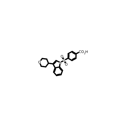 O=C(O)c1ccc(S(=O)(=O)n2cc(C3CCOCC3)c3ccccc32)cc1